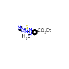 CCOC(=O)c1ccc2c(c1)nc(NC(=S)n1ccnc1)n2C